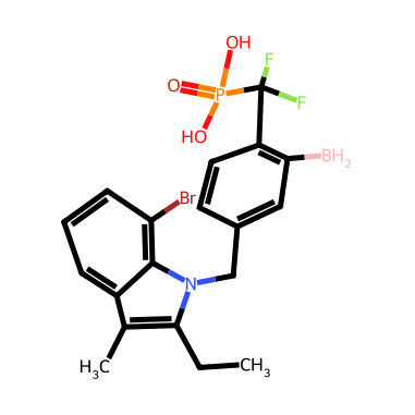 Bc1cc(Cn2c(CC)c(C)c3cccc(Br)c32)ccc1C(F)(F)P(=O)(O)O